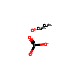 [Cu+2].[Cu+2].[O-2].[O]=[Ti]([O-])[O-]